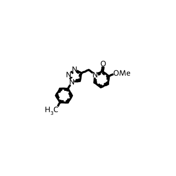 COc1cccn(Cc2cn(-c3ccc(C)cc3)nn2)c1=O